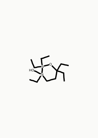 CCC1(CC)CC[Si](O)(CC)[Si](CC)(CC)O1